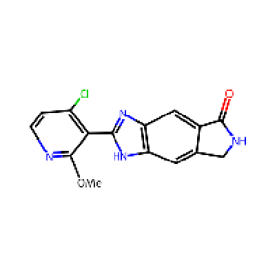 COc1nccc(Cl)c1-c1nc2cc3c(cc2[nH]1)CNC3=O